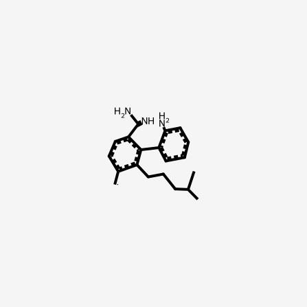 [CH2]c1ccc(C(=N)N)c(-c2ccccc2N)c1CCCC(C)C